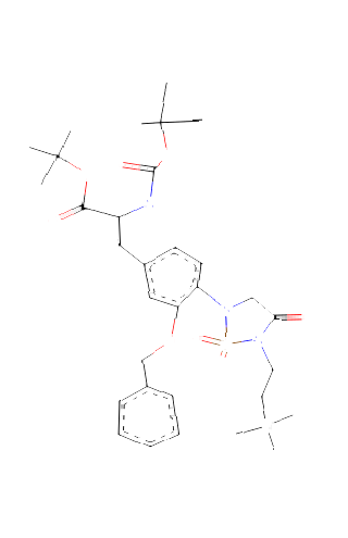 CC(C)(C)OC(=O)NC(Cc1ccc(N2CC(=O)N(CC[Si](C)(C)C)S2(=O)=O)c(OCc2ccccc2)c1)C(=O)OC(C)(C)C